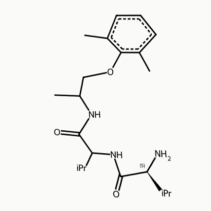 Cc1cccc(C)c1OCC(C)NC(=O)C(NC(=O)[C@@H](N)C(C)C)C(C)C